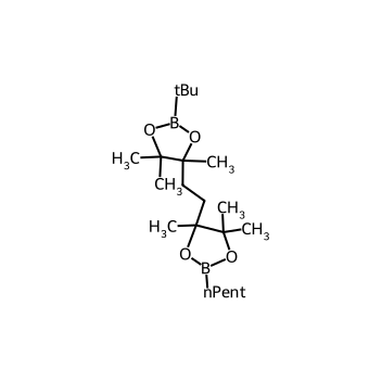 CCCCCB1OC(C)(C)C(C)(CCC2(C)OB(C(C)(C)C)OC2(C)C)O1